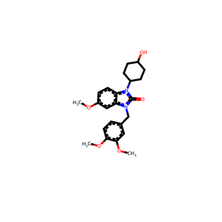 COc1ccc2c(c1)n(Cc1ccc(OC)c(OC)c1)c(=O)n2C1CCC(O)CC1